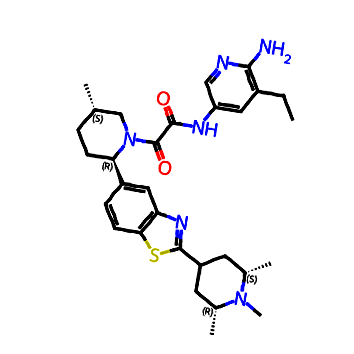 CCc1cc(NC(=O)C(=O)N2C[C@@H](C)CC[C@@H]2c2ccc3sc(C4C[C@@H](C)N(C)[C@@H](C)C4)nc3c2)cnc1N